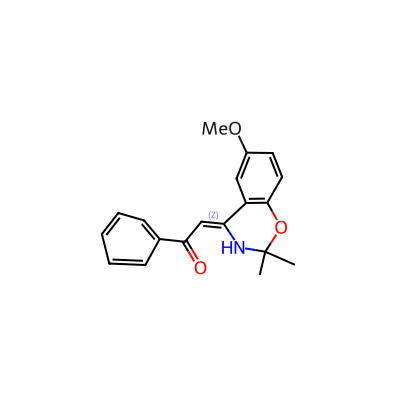 COc1ccc2c(c1)/C(=C/C(=O)c1ccccc1)NC(C)(C)O2